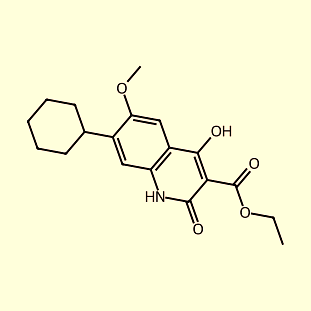 CCOC(=O)c1c(O)c2cc(OC)c(C3CCCCC3)cc2[nH]c1=O